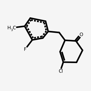 Cc1ccc(CC2C=C(Cl)CCC2=O)cc1F